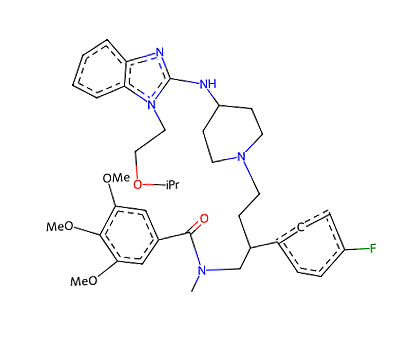 COc1cc(C(=O)N(C)CC(CCN2CCC(Nc3nc4ccccc4n3CCOC(C)C)CC2)c2ccc(F)cc2)cc(OC)c1OC